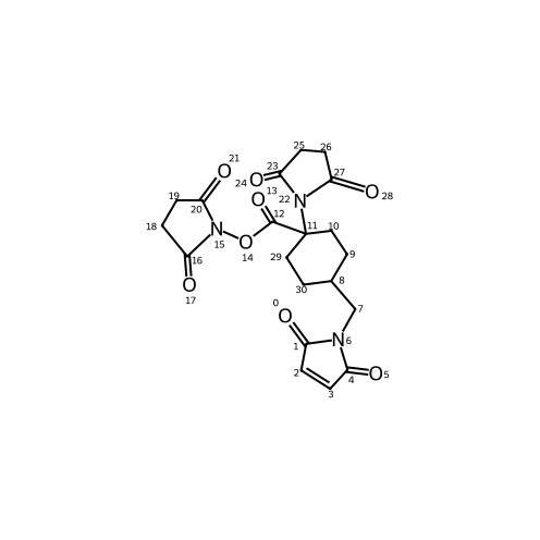 O=C1C=CC(=O)N1CC1CCC(C(=O)ON2C(=O)CCC2=O)(N2C(=O)CCC2=O)CC1